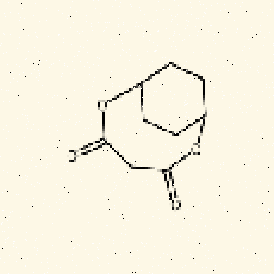 O=C1CC(=O)OC2CCC(CC2)O1